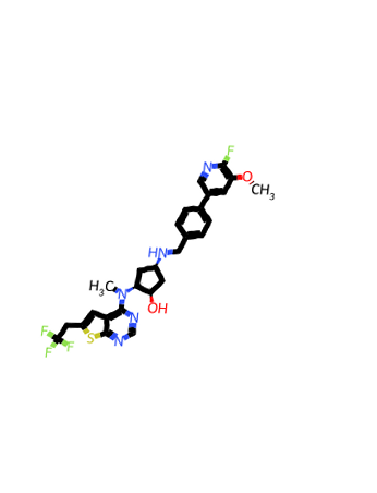 COc1cc(-c2ccc(CN[C@H]3C[C@@H](O)[C@@H](N(C)c4ncnc5sc(CC(F)(F)F)cc45)C3)cc2)cnc1F